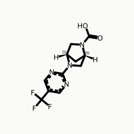 O=C(O)N1C[C@@H]2C[C@H]1CN2c1ncc(C(F)(F)F)cn1